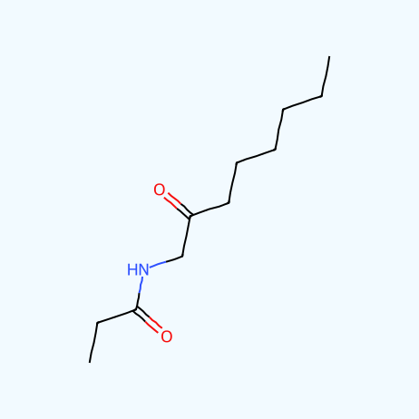 CCCCCCC(=O)CNC(=O)CC